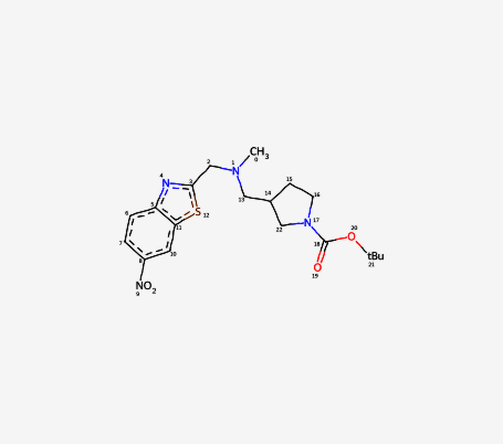 CN(Cc1nc2ccc([N+](=O)[O-])cc2s1)CC1CCN(C(=O)OC(C)(C)C)C1